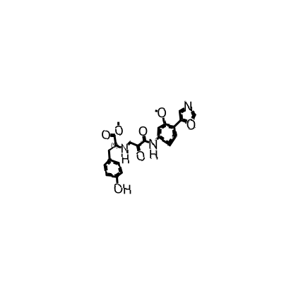 COC(=O)[C@H](Cc1ccc(O)cc1)NCC(=O)C(=O)Nc1ccc(-c2cnco2)c(OC)c1